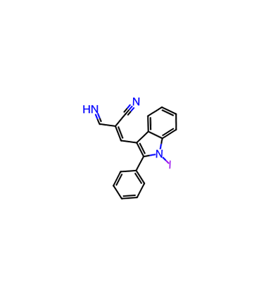 N#C/C(C=N)=C\c1c(-c2ccccc2)n(I)c2ccccc12